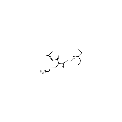 CCC(CC)OCCNC(CCCN)C(=O)C=C(C)C